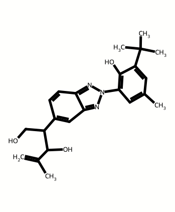 C=C(C)C(O)C(CO)c1ccc2nn(-c3cc(C)cc(C(C)(C)C)c3O)nc2c1